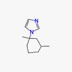 CC1CCCC(C)(n2ccnc2)C1